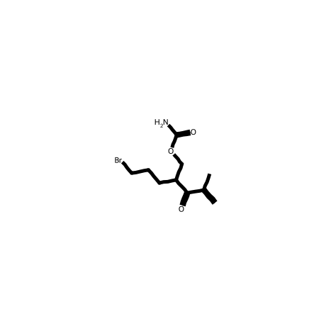 C=C(C)C(=O)C(CCCBr)COC(N)=O